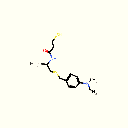 CN(C)c1ccc(CSCC(NC(=O)CCS)C(=O)O)cc1